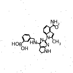 Cc1cc2c(C(N)=O)cccc2n1-c1nc2c(c(NCc3cccc(B(O)O)c3)n1)CCN2